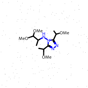 COC(C)c1nnc(C(C)OC)n1NC(C)C(OC)OC